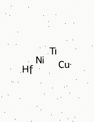 [Cu].[Hf].[Ni].[Ti]